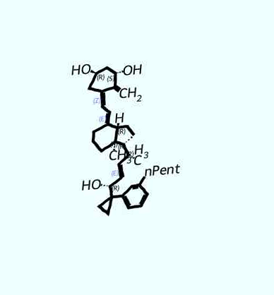 C=C1/C(=C\C=C2/CCC[C@]3(C)[C@@H]([C@H](C)/C=C/[C@@H](O)C4(c5cccc(CCCCC)c5)CC4)CC[C@@H]23)C[C@@H](O)C[C@@H]1O